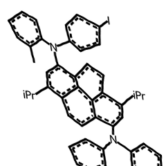 Cc1ccccc1N(c1ccc(I)cc1)c1cc(C(C)C)c2ccc3c(N(c4ccc(C#N)cc4)c4ccccc4C)cc(C(C)C)c4ccc1c2c43